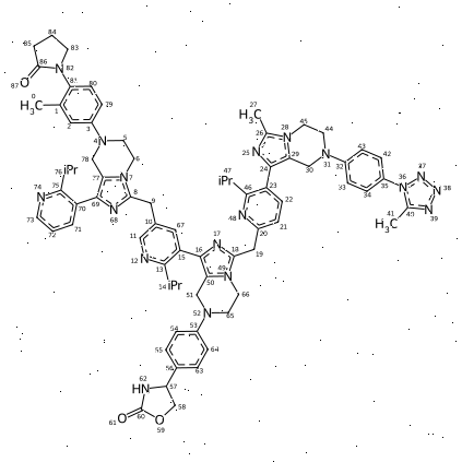 Cc1cc(N2CCn3c(Cc4cnc(C(C)C)c(-c5nc(Cc6ccc(-c7nc(C)n8c7CN(c7ccc(-n9nnnc9C)cc7)CC8)c(C(C)C)n6)n6c5CN(c5ccc(C7COC(=O)N7)cc5)CC6)c4)nc(-c4cccnc4C(C)C)c3C2)ccc1N1CCCC1=O